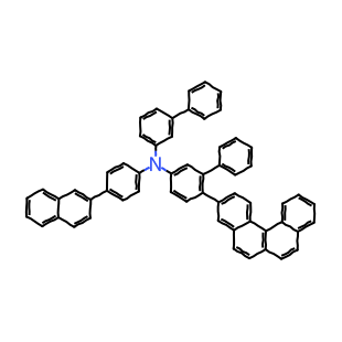 c1ccc(-c2cccc(N(c3ccc(-c4ccc5ccccc5c4)cc3)c3ccc(-c4ccc5c(ccc6ccc7ccccc7c65)c4)c(-c4ccccc4)c3)c2)cc1